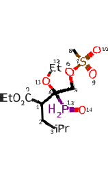 CCOC(=O)C(CC(C)C)C(COS(C)(=O)=O)(OCC)[PH2]=O